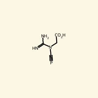 N=C(N)N(C#P)CC(=O)O